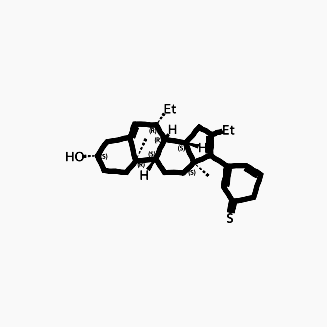 CCC1=C(C2=CC(=S)CC=C2)[C@@]2(C)CC[C@H]3[C@@H]([C@@H](CC)C=C4C[C@@H](O)CC[C@@]43C)[C@@H]2C1